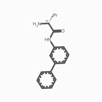 CC(C)[C@@H](N)C(=O)Nc1cccc(-c2ccccc2)c1